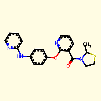 CC1SCCN1C(=O)c1cccnc1Oc1ccc(Nc2ccccn2)cc1